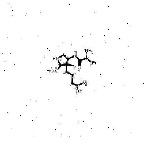 CC(C)C(N)C(=O)NC1CNC(C(=O)O)C1(C)CCCB(O)O